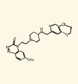 COc1ccc2nnc(=O)n(CCN3CCC(NCc4cc5c(cn4)OCCO5)CC3)c2c1